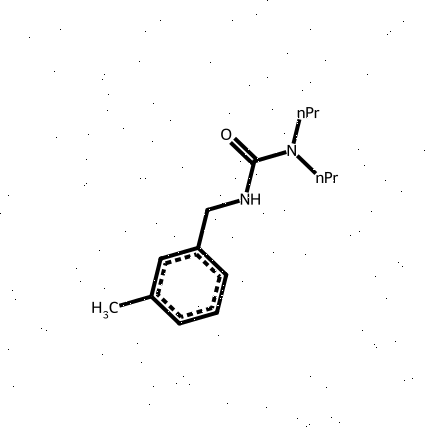 CCCN(CCC)C(=O)NCc1cccc(C)c1